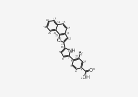 O=C(O)c1ccc(-c2ccc(-c3cc4ccc5ccccc5c4o3)[nH]2)c(Br)c1